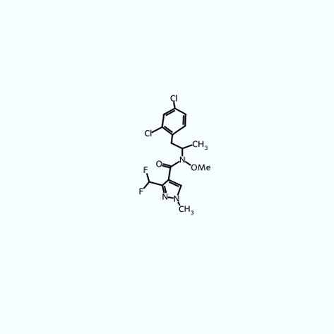 CON(C(=O)c1cn(C)nc1C(F)F)C(C)Cc1ccc(Cl)cc1Cl